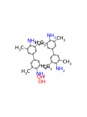 Cc1cc(-c2cc(C)c(N)c(C)c2)cc(C)c1N.Cc1cc(-c2cc(C)c(N)c(C)c2)cc(C)c1N.OO